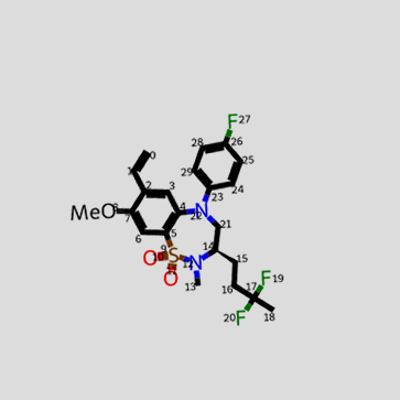 C=Cc1cc2c(cc1OC)S(=O)(=O)N(C)[C@H](CCC(C)(F)F)CN2c1ccc(F)cc1